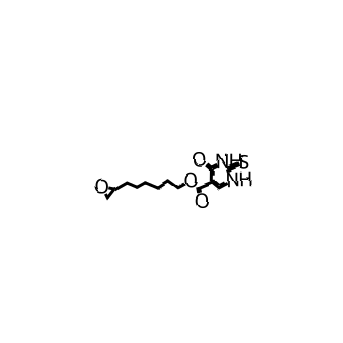 O=C(OCCCCCCC1CO1)c1c[nH]c(=S)[nH]c1=O